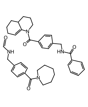 O=C(NCc1ccc(C(=O)N2CCCC3CCCC=C32)cc1)c1ccccc1.O=CNCc1ccc(C(=O)N2CCCCCC2)cc1